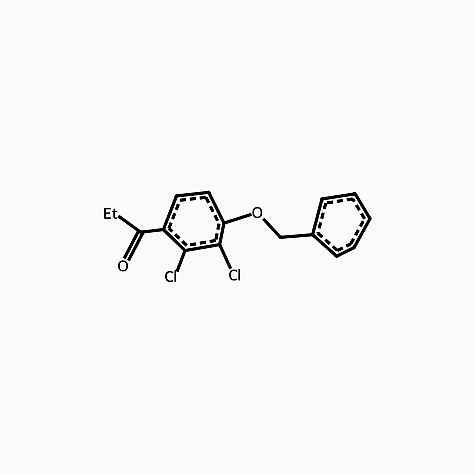 CCC(=O)c1ccc(OCc2ccccc2)c(Cl)c1Cl